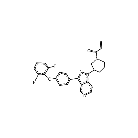 C=CC(=O)N1CCCC(n2nc(-c3ccc(Oc4c(F)cccc4F)cc3)c3cncnc32)C1